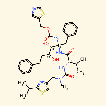 CC(C)c1nc(CN(C)C(=O)N[C@H](C(=O)N[C@@](Cc2ccccc2)(NC(=O)OCc2cncs2)[C@@H](O)[C@H](O)CCc2ccccc2)C(C)C)cs1